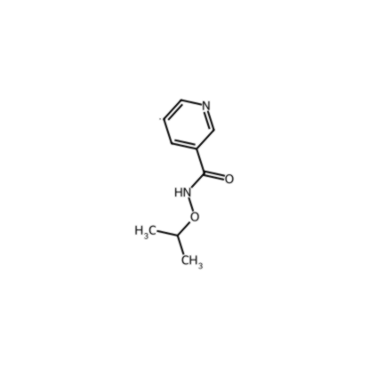 CC(C)ONC(=O)c1c[c]cnc1